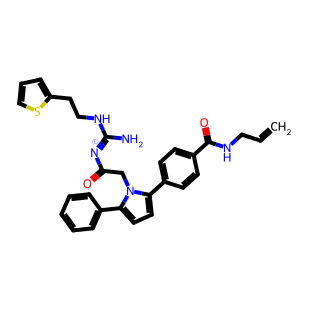 C=CCNC(=O)c1ccc(-c2ccc(-c3ccccc3)n2CC(=O)/N=C(\N)NCCc2cccs2)cc1